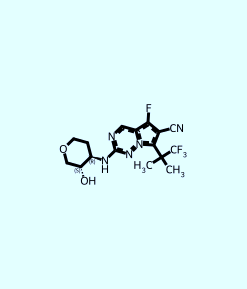 CC(C)(c1c(C#N)c(F)c2cnc(N[C@@H]3CCOC[C@H]3O)nn12)C(F)(F)F